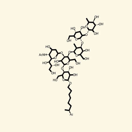 CC(=O)N[C@@H]1C(O)CC(O[C@@H]2C(O)[C@H](O[C@@H]3C(CO)O[C@@H](OCCCCCC[C@H](C)C(C)=O)C(O)[C@H]3O)OC(CO)[C@@H]2O[C@@H]2OC(CO)[C@H](O)[C@H](O[C@@H]3OC(CO)[C@H](O)[C@H](O)C3O[C@@H]3OC(C)[C@@H](O)[C@H](O)C3O)C2C)O[C@H]1[C@H](O)[C@H](O)CO